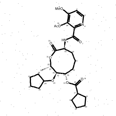 COc1ccnc(C(=O)N[C@H]2CCC[C@H](OC(=O)C3CCCC3)[C@@H](OC3CCCC3)[C@H](C)OC2=O)c1OC(C)=O